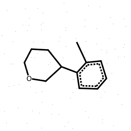 Cc1ccccc1C1CCCOC1